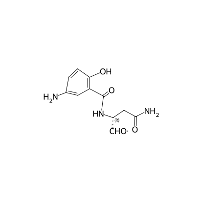 NC(=O)C[C@H]([C]=O)NC(=O)c1cc(N)ccc1O